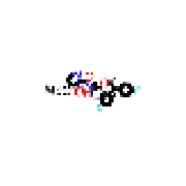 COc1ccnc(C(=O)N[C@@](C)(C=O)CO[C@H](C)C(c2ccc(F)cc2)c2ccc(F)cc2)c1O